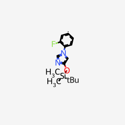 CC(C)(C)[Si](C)(C)Oc1cn(-c2cc[c]cc2F)cn1